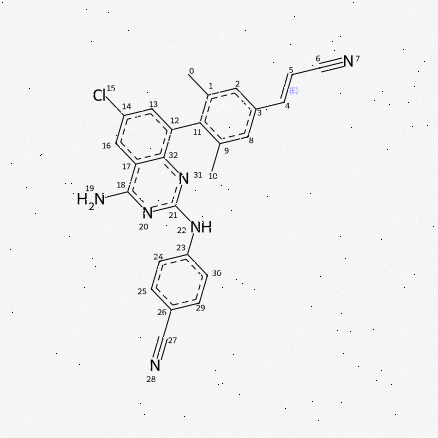 Cc1cc(/C=C/C#N)cc(C)c1-c1cc(Cl)cc2c(N)nc(Nc3ccc(C#N)cc3)nc12